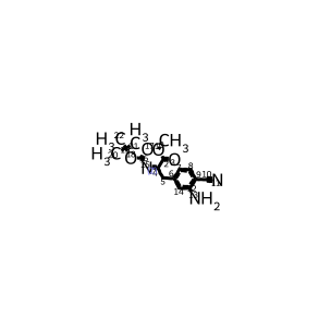 COC(=O)/C(Cc1ccc(C#N)c(N)c1)=N\C(=O)OC(C)(C)C